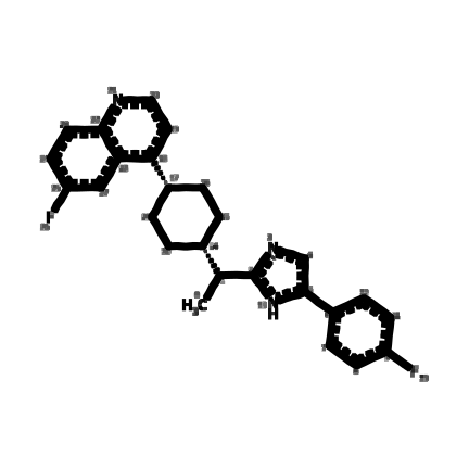 CC(c1ncc(-c2ccc(F)cc2)[nH]1)[C@H]1CC[C@@H](c2ccnc3ccc(F)cc32)CC1